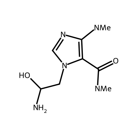 CNC(=O)c1c(NC)ncn1CC(N)O